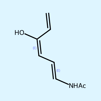 C=C/C(O)=C\C=C\NC(C)=O